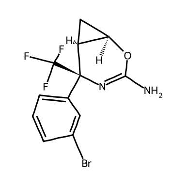 NC1=N[C@@](c2cccc(Br)c2)(C(F)(F)F)[C@H]2C[C@H]2O1